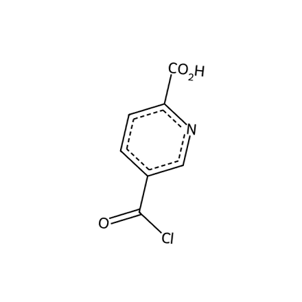 O=C(Cl)c1ccc(C(=O)O)nc1